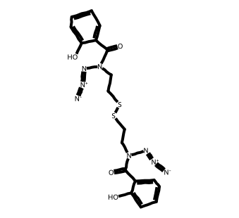 [N-]=[N+]=NN(CCSSCCN(N=[N+]=[N-])C(=O)c1ccccc1O)C(=O)c1ccccc1O